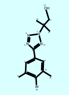 Cc1cc(-c2nnn(C(C)(C)CO)n2)cc(C)c1Br